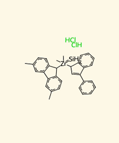 Cc1ccc2c(c1)-c1cc(C)ccc1[CH]2[Zr]([CH3])([CH3])(=[SiH2])[CH]1C=C(c2ccccc2)c2ccccc21.Cl.Cl